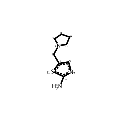 Nc1ncc(CN2CCCC2)s1